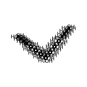 O=P(O)(O)O.O=P(O)(O)O.O=P(O)(O)O.O=P(O)(O)O.O=P(O)(O)O.O=P(O)(O)O.O=P(O)(O)O.O=P(O)(O)O.O[C@H]1[C@H](O)[C@H](O)[C@@H](O)[C@H](O)[C@H]1O.O[C@H]1[C@H](O)[C@H](O)[C@@H](O)[C@H](O)[C@H]1O.O[C@H]1[C@H](O)[C@H](O)[C@@H](O)[C@H](O)[C@H]1O.O[C@H]1[C@H](O)[C@H](O)[C@@H](O)[C@H](O)[C@H]1O.O[C@H]1[C@H](O)[C@H](O)[C@@H](O)[C@H](O)[C@H]1O.O[C@H]1[C@H](O)[C@H](O)[C@@H](O)[C@H](O)[C@H]1O.O[C@H]1[C@H](O)[C@H](O)[C@@H](O)[C@H](O)[C@H]1O